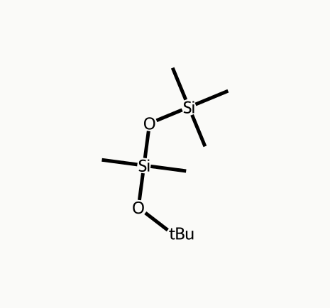 CC(C)(C)O[Si](C)(C)O[Si](C)(C)C